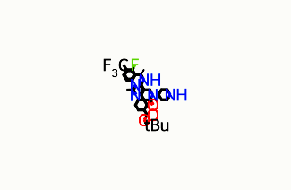 Cc1nc(N[C@H](C)c2cccc(C(F)(F)F)c2F)c2c(n1)C1(CCCC(C(=O)OC(C)(C)C)C1)C(=O)N(C1CCNCC1)C2